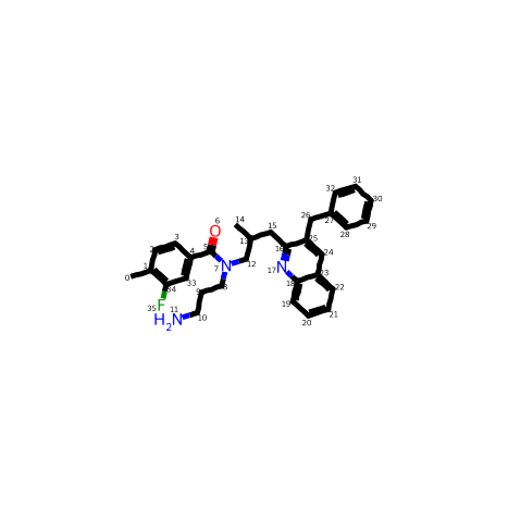 Cc1ccc(C(=O)N(CCCN)CC(C)Cc2nc3ccccc3cc2Cc2ccccc2)cc1F